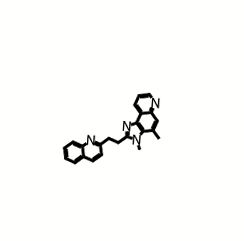 Cc1cc2ncccc2c2nc(CCc3ccc4ccccc4n3)n(C)c12